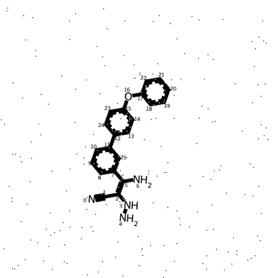 N#C/C(NN)=C(/N)c1cccc(-c2ccc(Oc3ccccc3)cc2)c1